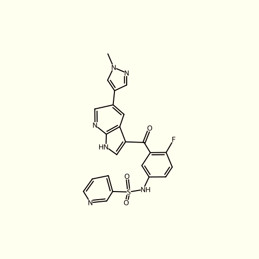 Cn1cc(-c2cnc3[nH]cc(C(=O)c4cc(NS(=O)(=O)c5cccnc5)ccc4F)c3c2)cn1